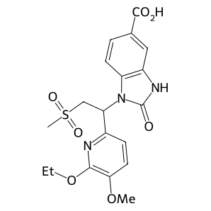 CCOc1nc(C(CS(C)(=O)=O)n2c(=O)[nH]c3cc(C(=O)O)ccc32)ccc1OC